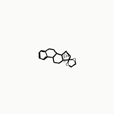 C[C@]12CCC3c4ccccc4CCC3C1CCC21OCCO1